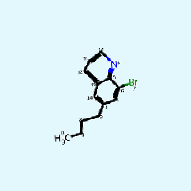 CCCCc1cc(Br)c2ncccc2c1